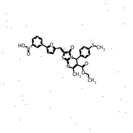 CCOC(=O)C1=C(C)N=c2s/c(=C\c3ccc(-c4cccc([N+](=O)O)c4)o3)c(=O)n2C1c1ccc(SC)cc1